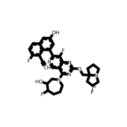 C#Cc1c(F)ccc2cc(O)cc(-c3ncc4c(N5CCCC(F)C(O)C5)nc(OCC56CCCN5C[C@H](F)C6)nc4c3F)c12